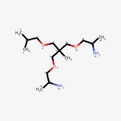 CC(C)COCC(C)(COCC(C)N)COCC(C)N